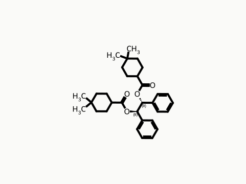 CC1(C)CCC(C(=O)O[C@H](c2ccccc2)[C@H](OC(=O)C2CCC(C)(C)CC2)c2ccccc2)CC1